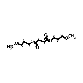 COCCCOC(=O)CCC(=O)OCCCOC